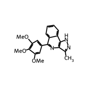 COc1cc(-c2nc3c(C)n[nH]c3c3ccccc23)cc(OC)c1OC